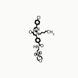 CCCCCn1c(-c2ccc(C(=O)NCCS(=O)(=O)N3CCOCC3)cc2)cc(=O)n2cc(-c3ccc(Cl)cc3)nc12